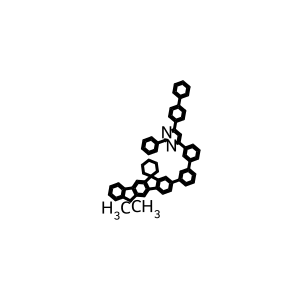 CC1(C)c2ccccc2-c2cc3c(cc21)-c1ccc(-c2cccc(-c4cccc(-c5cc(-c6ccc(-c7ccccc7)cc6)nc(-c6ccccc6)n5)c4)c2)cc1C31CCCCC1